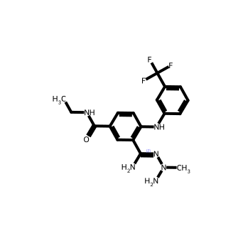 CCNC(=O)c1ccc(Nc2cccc(C(F)(F)F)c2)c(/C(N)=N/N(C)N)c1